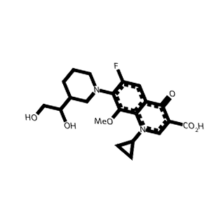 COc1c(N2CCCC(C(O)CO)C2)c(F)cc2c(=O)c(C(=O)O)cn(C3CC3)c12